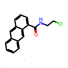 O=C(NCCCl)c1cccc2cc3ccccc3cc12